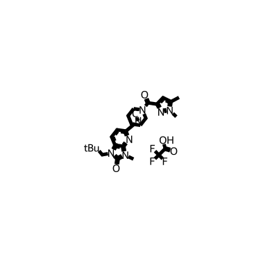 Cc1cc(C(=O)N2CC3CCC2CN3c2ccc3c(n2)n(C)c(=O)n3CC(C)(C)C)nn1C.O=C(O)C(F)(F)F